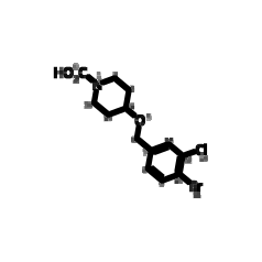 O=C(O)N1CCC(OCc2ccc(Br)c(Cl)c2)CC1